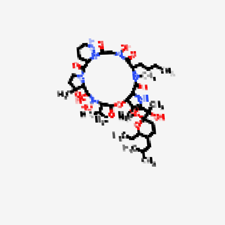 CCCCC1C(=O)N(O)CC(=O)N2NCCCC2C(=O)N2CCC(C)(O)C2C(=O)N(O)C(C(C)C)C(=O)OC(C(C)C)C(NC(=O)C(C)(O)C2(OC)CCC(CC(C)C)C(CC)O2)C(=O)N1C